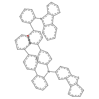 c1ccc(-c2ccc(-c3ccccc3N(c3ccc(-c4ccc(-c5ccccc5-n5c6ccccc6c6ccccc65)cc4)cc3)c3ccc4sc5ccccc5c4c3)cc2)cc1